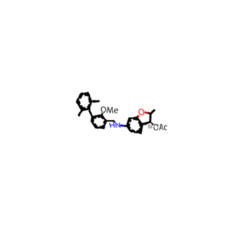 COc1c(CNc2ccc3c(c2)OC(C)[C@H]3OC(C)=O)cccc1-c1c(C)cccc1C